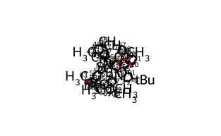 CC(C)(C)c1ccc(N2c3cc4c(cc3B3c5c2cc(N2c6ccccc6C6(C)CCCCC26C)cc5N(c2ccc5c(c2)C(C)(C)CCC5(C)C)c2sc5cc6c(cc5c23)C2(C)CCC6(C)CC2)C(C)(C)CCC4(C)C)c(-c2ccccc2)c1